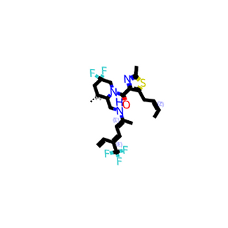 C=C/C(=C\C=C(/C)NCC1[C@H](C)CC(F)(F)CN1C(=O)c1nc(C)sc1C/C=C\C)C(F)(F)F